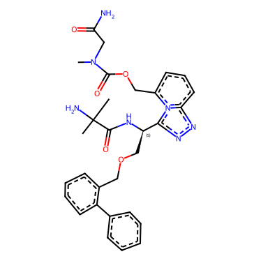 CN(CC(N)=O)C(=O)OCc1cccc2nnc([C@@H](COCc3ccccc3-c3ccccc3)NC(=O)C(C)(C)N)n12